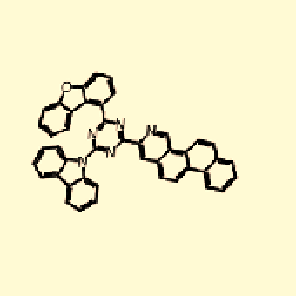 c1ccc2c(c1)ccc1c3cnc(-c4nc(-c5cccc6oc7ccccc7c56)nc(-n5c6ccccc6c6ccccc65)n4)cc3ccc21